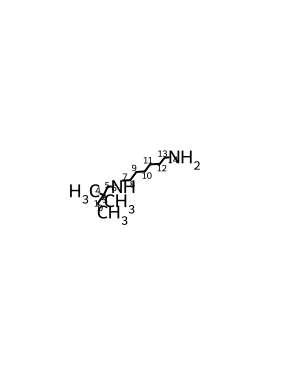 CCC(C)(C)CNCCCCCCCN